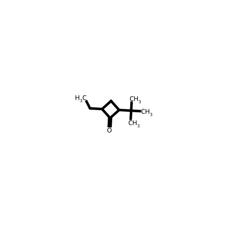 CCC1CC(C(C)(C)C)C1=O